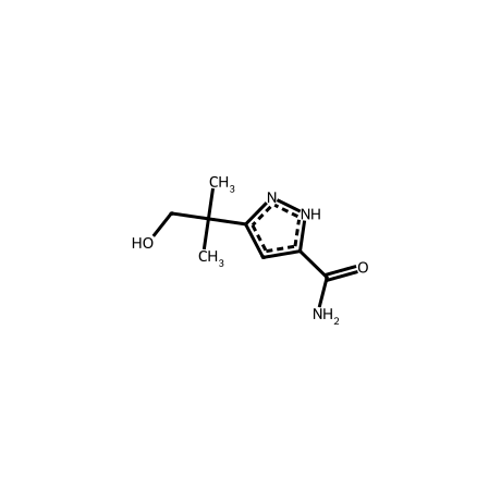 CC(C)(CO)c1cc(C(N)=O)[nH]n1